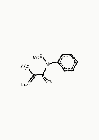 C=C(C)C(=O)N(SC)c1ccccc1